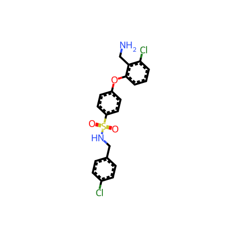 NCc1c(Cl)cccc1Oc1ccc(S(=O)(=O)NCc2ccc(Cl)cc2)cc1